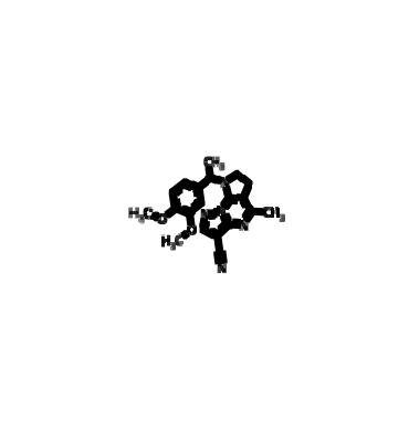 COc1ccc(C(C)N2CCc3c(C)nc4c(C#N)cnn4c32)cc1OC